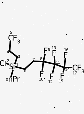 CCC[Si](Cl)(CCC(F)(F)F)CCC(F)(F)C(F)(F)C(F)(F)C(F)(F)F